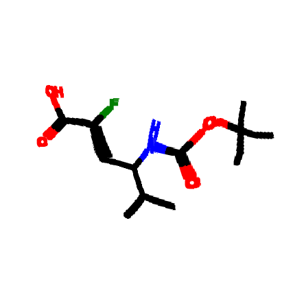 CC(C)C(/C=C(\F)C(=O)O)NC(=O)OC(C)(C)C